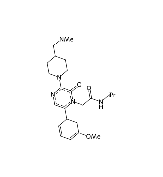 CNCC1CCN(c2ncc(C3C=CC=C(OC)C3)n(CC(=O)NC(C)C)c2=O)CC1